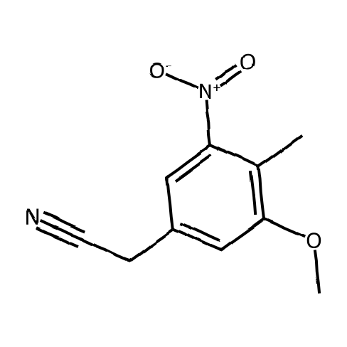 COc1cc(CC#N)cc([N+](=O)[O-])c1C